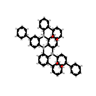 c1ccc(-c2ccc(N3c4cccc5c4B(c4ccc(-c6ccccc6)cc4N5c4ccccc4-c4ccccc4)c4cccc(-c5ccccc5)c43)cc2)cc1